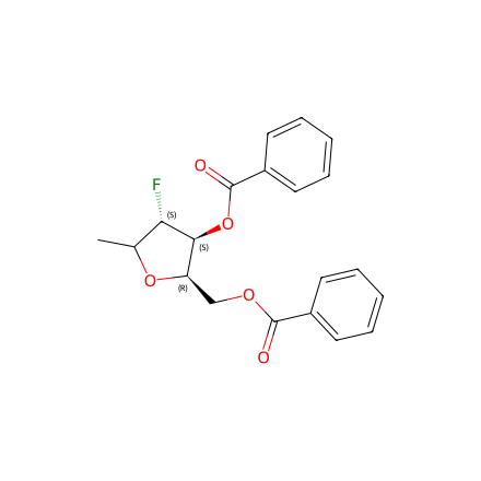 CC1O[C@H](COC(=O)c2ccccc2)[C@H](OC(=O)c2ccccc2)[C@H]1F